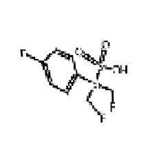 O=S(=O)(O)[Si](CF)(CF)c1ccc(F)cc1